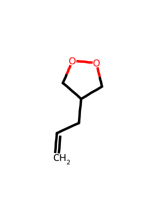 C=CCC1COOC1